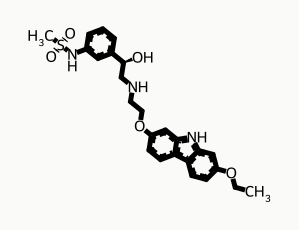 CCOc1ccc2c(c1)[nH]c1cc(OCCNC[C@H](O)c3cccc(NS(C)(=O)=O)c3)ccc12